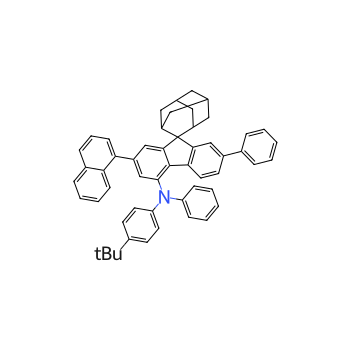 CC(C)(C)c1ccc(N(c2ccccc2)c2cc(-c3cccc4ccccc34)cc3c2-c2ccc(-c4ccccc4)cc2C32C3CC4CC(C3)CC2C4)cc1